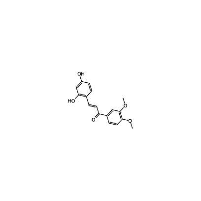 COc1ccc(C(=O)/C=C/c2ccc(O)cc2O)cc1OC